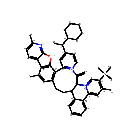 C=C1C2C(CCc3cc(C)c4c(oc5nc(C)ccc54)c3-c3cc(C(C)C4CCCCC4)cc[n+]31)c1ccccc1-c1cc(C(C)C)c([Si](C)(C)C)c[n+]12